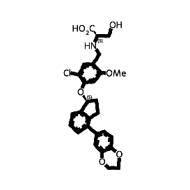 COc1cc(O[C@H]2CCc3c(-c4ccc5c(c4)OCCO5)cccc32)c(Cl)cc1CN[C@@H](CO)C(=O)O